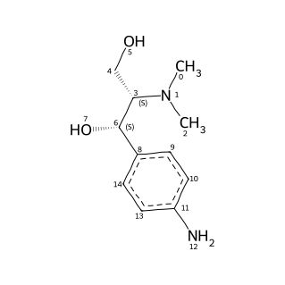 CN(C)[C@@H](CO)[C@@H](O)c1ccc(N)cc1